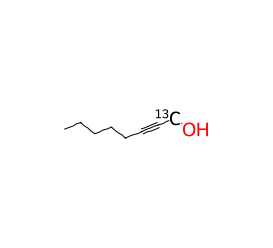 CCCCCC#C[13CH2]O